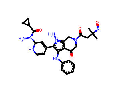 CC(C)(CC(=O)N1CC(=O)c2c(Nc3ccccc3)c(C3=CC(N(N)C(=O)C4CC4)NC=C3)n(N)c2C1)N=O